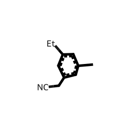 CCc1cc(C)cc(CC#N)c1